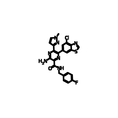 Cn1ccc(-c2nc(N)c(C(=O)NCc3ccc(F)cc3)nc2-c2cc(Cl)c3ncsc3c2)n1